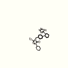 CCc1nn(C2CCCCC2)c(=O)n1Cc1ccc(-c2ccccc2-c2nnn[nH]2)cc1